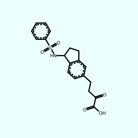 O=C(O)C(=O)CCc1ccc2c(c1)CCC2NS(=O)(=O)c1ccccc1